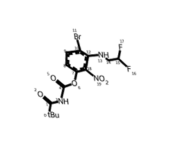 CC(C)(C)C(=O)NC(=O)Oc1ccc(Br)c(NCC(F)F)c1[N+](=O)[O-]